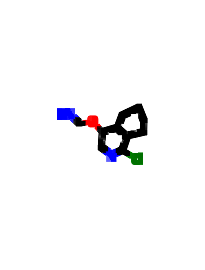 N=COc1cnc(Cl)c2ccccc12